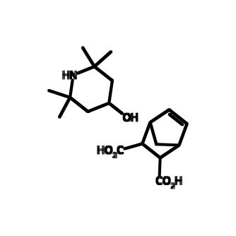 CC1(C)CC(O)CC(C)(C)N1.O=C(O)C1C2C=CC(C2)C1C(=O)O